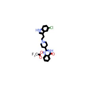 O=C1NC(C2CCN(CCc3c[nH]c4ccc(Cl)cc34)CC2)N(OC(=O)C(F)(F)F)c2ccccc21